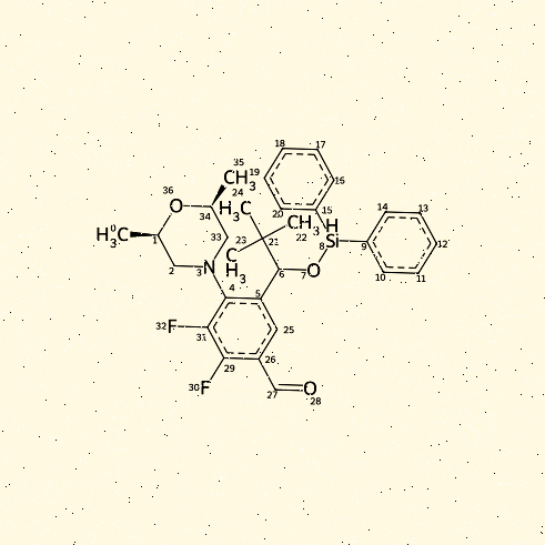 C[C@@H]1CN(c2c(C(O[SiH](c3ccccc3)c3ccccc3)C(C)(C)C)cc(C=O)c(F)c2F)C[C@H](C)O1